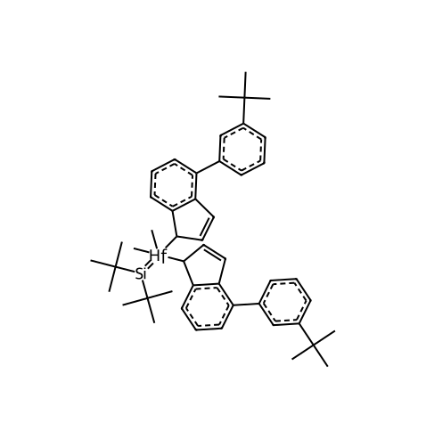 CC(C)(C)c1cccc(-c2cccc3c2C=C[CH]3[Hf]([CH3])([CH3])([CH]2C=Cc3c(-c4cccc(C(C)(C)C)c4)cccc32)=[Si](C(C)(C)C)C(C)(C)C)c1